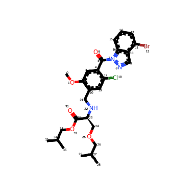 COc1cc(C(=O)n2ncc3c(Br)cccc32)c(Cl)cc1CN[C@@H](COCC(C)C)C(=O)OCC(C)C